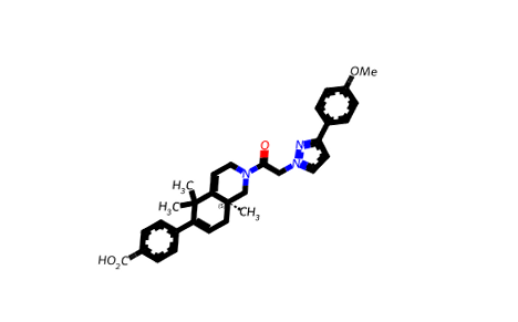 COc1ccc(-c2ccn(CC(=O)N3CC=C4C(C)(C)C(c5ccc(C(=O)O)cc5)=CC[C@]4(C)C3)n2)cc1